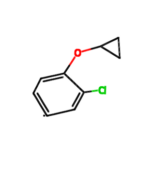 Clc1c[c]ccc1OC1CC1